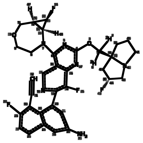 [2H]C([2H])(Oc1nc(N2CCOC[C@H]3[C@@H](F)[C@H]32)c2cnc(-c3cc(N)cc4ccc(F)c(C#C)c34)c(F)c2n1)[C@@]12CCCN1C[C@H](F)C2